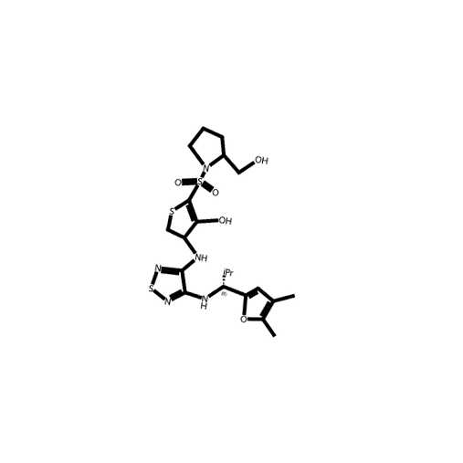 Cc1cc([C@H](Nc2nsnc2NC2CSC(S(=O)(=O)N3CCCC3CO)=C2O)C(C)C)oc1C